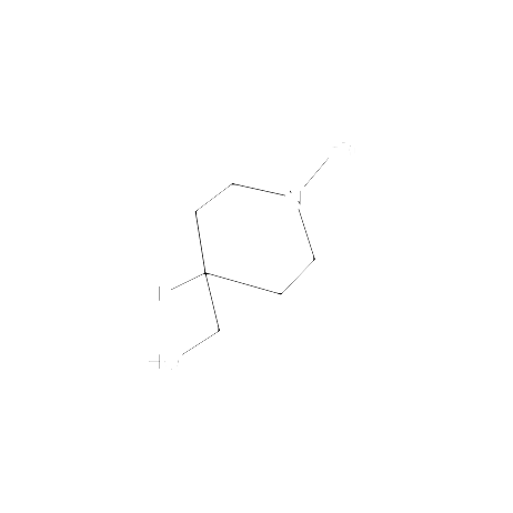 CC(C)(C)N1CCC(F)(CO)CC1